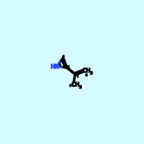 C=C(C)C1=CN1